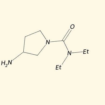 CCN(CC)C(=O)N1CCC(N)C1